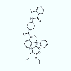 CCCC(NC(=O)[C@@]1(c2ccccc2)CC[C@H](C(=O)N2CCC(NC(=O)c3ccccc3OC)CC2)c2ccccc21)C(=O)OCC